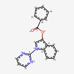 O=C(Oc1cn(-c2ncccn2)c2ccccc12)c1ccccc1